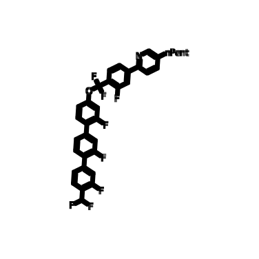 CCCCCc1ccc(-c2ccc(C(F)(F)Oc3ccc(-c4ccc(-c5ccc(C(F)F)c(F)c5)c(F)c4)c(F)c3)c(F)c2)nc1